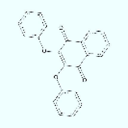 O=C1C(Oc2ccccc2)=C(Oc2ccccc2)C(=O)c2ccccc21